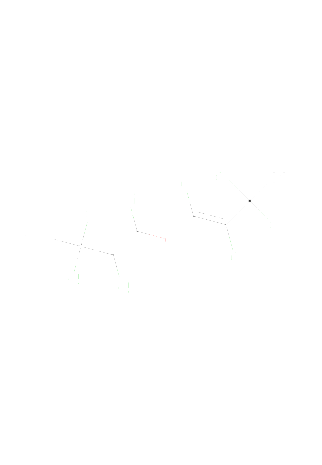 ClC(OC(Cl)=C(Cl)C(Cl)(Cl)C(Cl)(Cl)Cl)=C(Cl)C(Cl)(Cl)C(Cl)(Cl)Cl